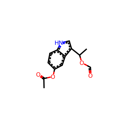 CC(=O)Oc1ccc2[nH]cc(C(C)OC=O)c2c1